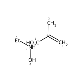 C=C(C)C(=O)O.CCNO